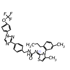 CCCc1ccc(C)cc1-n1c(C)cs/c1=N\C(=O)NCc1ccc(-c2ncn(-c3ccc(OC(F)(F)F)cc3)n2)cc1